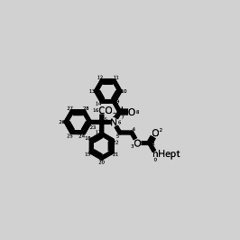 CCCCCCCC(=O)OCCN(C(=O)c1ccccc1)C(C(=O)O)(c1ccccc1)c1ccccc1